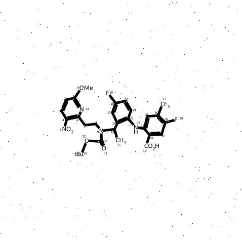 COc1ccc([N+](=O)[O-])c(CCN(C(=O)OC(C)(C)C)C(C)c2cc(F)ccc2Nc2cc(C(F)(F)F)c(F)cc2C(=O)O)n1